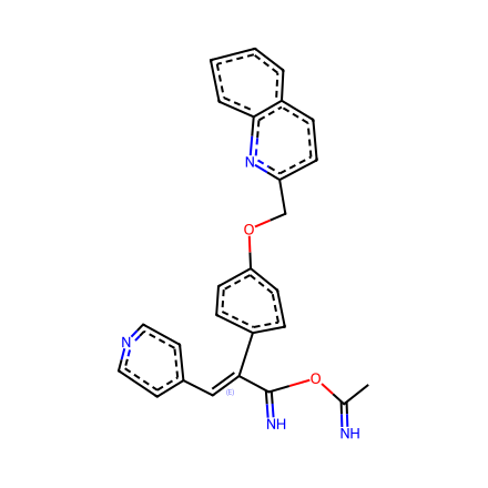 CC(=N)OC(=N)/C(=C/c1ccncc1)c1ccc(OCc2ccc3ccccc3n2)cc1